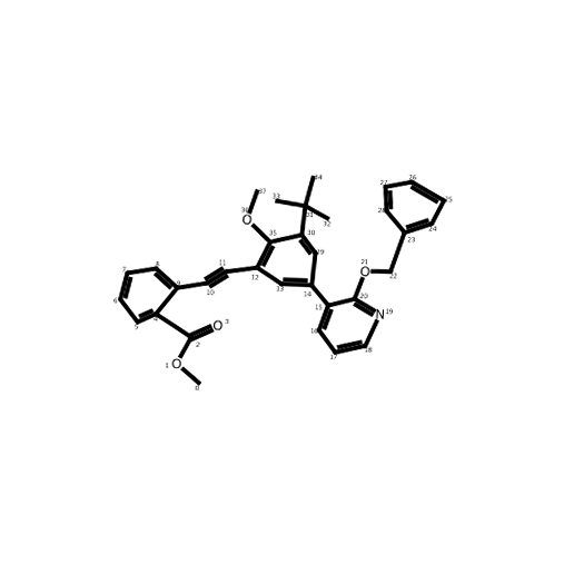 COC(=O)c1ccccc1C#Cc1cc(-c2cccnc2OCc2ccccc2)cc(C(C)(C)C)c1OC